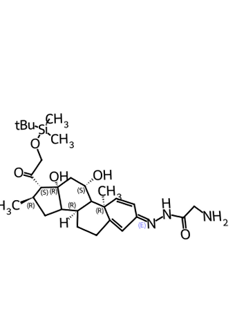 C[C@@H]1CC2[C@@H]3CCC4=C/C(=N/NC(=O)CN)C=C[C@]4(C)C3[C@@H](O)C[C@]2(O)[C@H]1C(=O)CO[Si](C)(C)C(C)(C)C